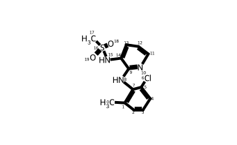 Cc1cccc(Cl)c1Nc1ncccc1NS(C)(=O)=O